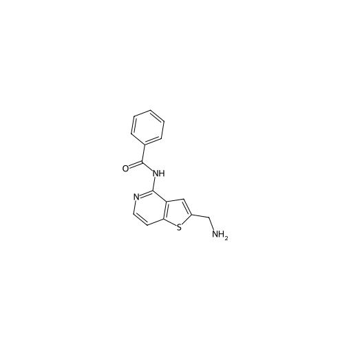 NCc1cc2c(NC(=O)c3ccccc3)nccc2s1